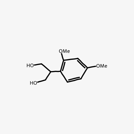 COc1ccc(C(CO)CO)c(OC)c1